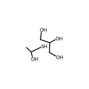 CC(O)S.OCC(O)CO